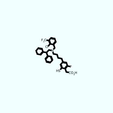 O=C(O)Cc1c(F)cc(CCCCN(Cc2cccc(C(F)(F)F)c2Cl)CC(C2=CCCC=C2)c2ccccc2)cc1S